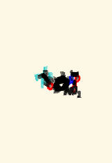 O=C1OCCN1c1ccc(OC(F)(F)C(F)F)cc1[N+](=O)[O-]